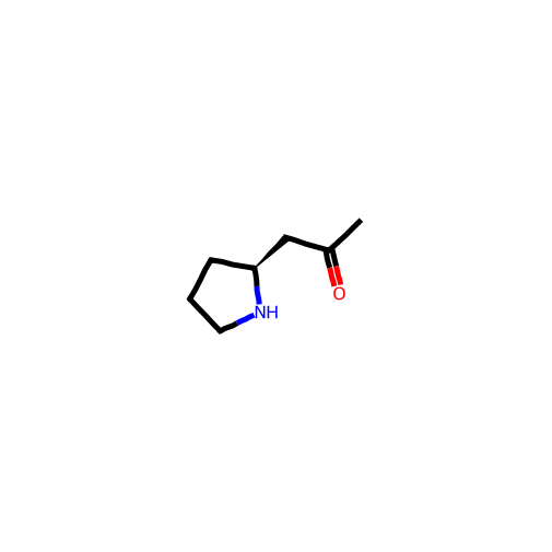 CC(=O)C[C@@H]1CCCN1